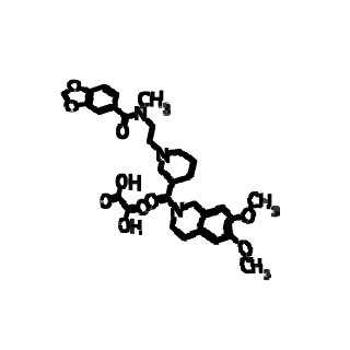 COc1cc2c(cc1OC)CN(C(=O)C1CCCN(CCN(C)C(=O)c3ccc4c(c3)OCO4)C1)CC2.O=C(O)C(=O)O